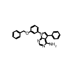 Nc1ncnc2c1c(-c1ccccc1)cn2-c1cccc(OCc2ccccc2)c1